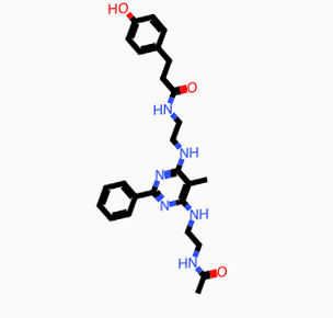 CC(=O)NCCNc1nc(-c2ccccc2)nc(NCCNC(=O)CCc2ccc(O)cc2)c1C